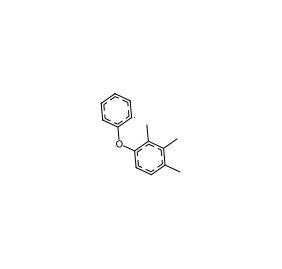 Cc1ccc(Oc2[c]cccc2)c(C)c1C